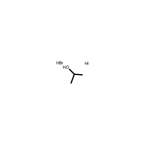 Br.CC(C)O.I